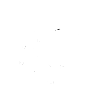 CCCCC1=NC(O)=C(C(=O)N2CC[C@@H](c3ccccc3)C2)CN1C(C)C